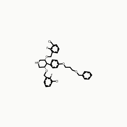 Fc1c(Cl)cccc1CO[C@H]1CNC[C@@H](OCc2cccc(Cl)c2F)C1c1ccc(OCCCOCc2ccccc2)cc1